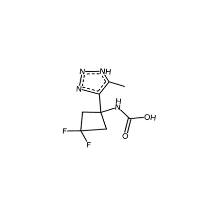 Cc1[nH]nnc1C1(NC(=O)O)CC(F)(F)C1